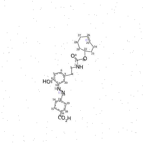 O=C(NCCc1ccc(O)c(/N=N/c2ccc(C(=O)O)cc2)c1)OC1CC/C=C/CCC1